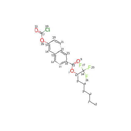 CCCCCCC(OC(=O)c1ccc2cc(OC(=O)Cl)ccc2c1)C(F)(F)F